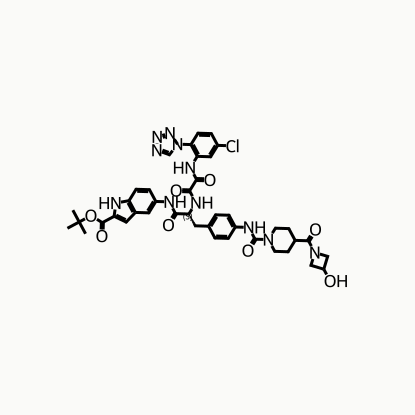 CC(C)(C)OC(=O)c1cc2cc(NC(=O)[C@H](Cc3ccc(NC(=O)N4CCC(C(=O)N5CC(O)C5)CC4)cc3)NC(=O)C(=O)Nc3cc(Cl)ccc3-n3cnnn3)ccc2[nH]1